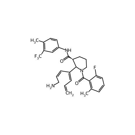 C=C/C=C(\C=C/CN)C1[C@@H](C(=O)Nc2ccc(C)c(C(F)(F)F)c2)CCCN1C(=O)c1c(C)cccc1F